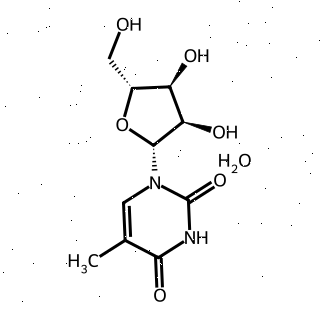 Cc1cn([C@@H]2O[C@H](CO)[C@@H](O)[C@H]2O)c(=O)[nH]c1=O.O